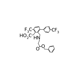 O=C(O)Cc1c(C(F)(F)F)ccc(-c2ccc(C(F)(F)F)cc2)c1CNCCC(=O)OCc1ccccc1